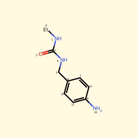 CCNC(=O)NCc1ccc(N)cc1